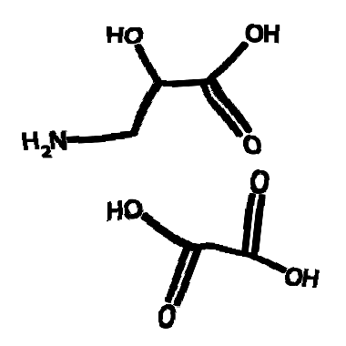 NCC(O)C(=O)O.O=C(O)C(=O)O